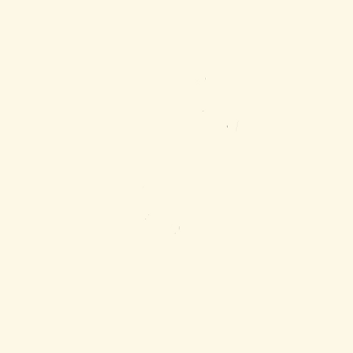 CC(=O)SCCC(=O)Cl